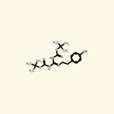 CC(C)(C)OC(=O)NC(=NCCc1ccc(O)cc1)NC(=O)OC(C)(C)C